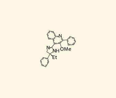 CC[C@@]1(c2ccccc2)CN=C(c2c(OC)c(-c3ccccc3)nc3ccccc23)N1